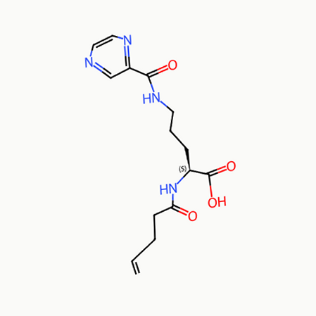 C=CCCC(=O)N[C@@H](CCCNC(=O)c1cnccn1)C(=O)O